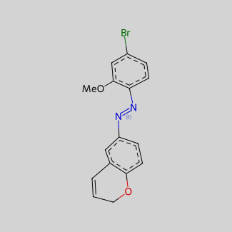 COc1cc(Br)ccc1/N=N/c1ccc2c(c1)C=CCO2